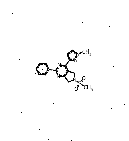 Cn1ccc(-c2nc(-c3ccccc3)nc3c2CN(S(C)(=O)=O)C3)n1